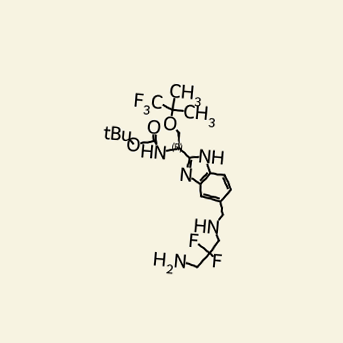 CC(C)(C)OC(=O)N[C@@H](COC(C)(C)C(F)(F)F)c1nc2cc(CNCC(F)(F)CN)ccc2[nH]1